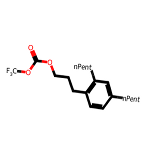 CCCCCc1ccc(CCCOC(=O)OC(F)(F)F)c(CCCCC)c1